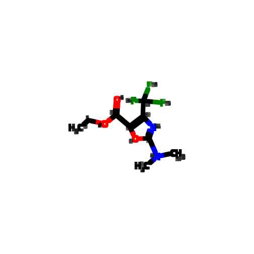 CCOC(=O)c1oc(N(C)C)nc1C(F)(F)F